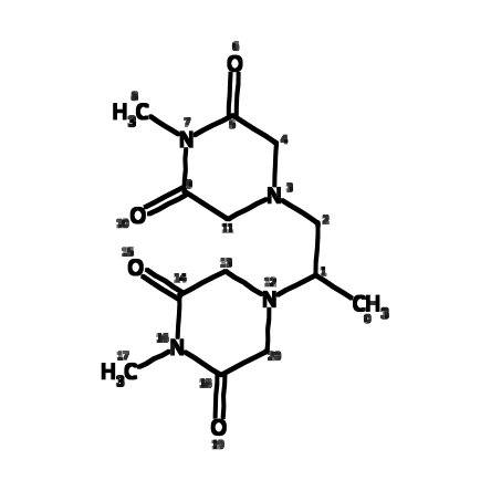 CC(CN1CC(=O)N(C)C(=O)C1)N1CC(=O)N(C)C(=O)C1